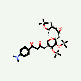 C[C@@H]([C@@H]1O[C@H]1C[C@@H]1OC[C@H](CC(=O)CC(O)c2ccc(N(C)C)cc2)[C@@H](O[Si](C)(C)C)[C@@H]1O[Si](C)(C)C)[C@H](C)O[Si](C)(C)C